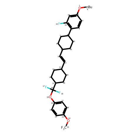 CCCCOc1ccc(C2CCC(/C=C/C3CCC(C(F)(F)Oc4ccc(OC(F)(F)F)cc4)CC3)CC2)c(F)c1